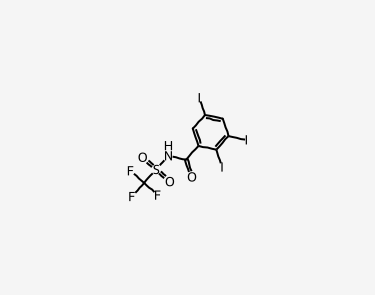 O=C(NS(=O)(=O)C(F)(F)F)c1cc(I)cc(I)c1I